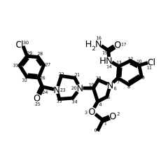 CC(=O)OC1CN(c2ccc(Cl)cc2NC(N)=O)CC1N1CCN(C(=O)c2ccc(Cl)cc2)CC1